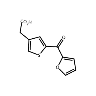 O=C(O)Cc1csc(C(=O)c2ccco2)c1